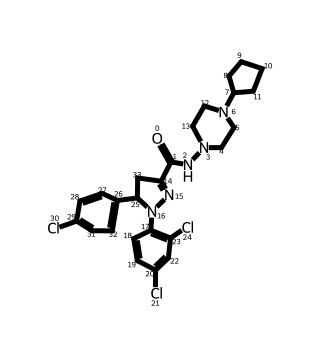 O=C(NN1CCN(C2CCCC2)CC1)C1=NN(c2ccc(Cl)cc2Cl)C(c2ccc(Cl)cc2)C1